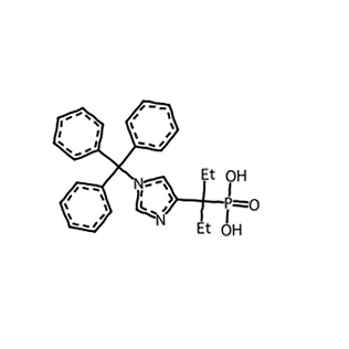 CCC(CC)(c1cn(C(c2ccccc2)(c2ccccc2)c2ccccc2)cn1)P(=O)(O)O